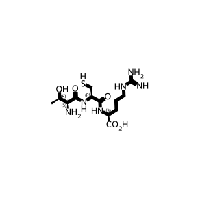 C[C@@H](O)[C@H](N)C(=O)N[C@@H](CS)C(=O)N[C@@H](CCCNC(=N)N)C(=O)O